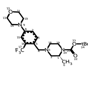 C[C@@H]1CN(Cc2ccc(N3CCOCC3)cc2C(F)(F)F)CCN1C(=O)OC(C)(C)C